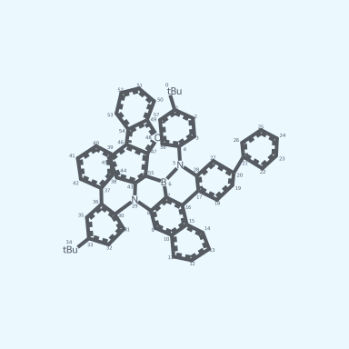 CC(C)(C)c1ccc(N2B3c4c(cc5ccccc5c4-c4ccc(-c5ccccc5)cc42)N(c2ccc(C(C)(C)C)cc2-c2ccccc2)c2ccc4c(oc5ccccc54)c23)cc1